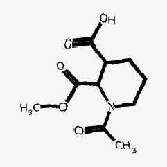 COC(=O)C1C(C(=O)O)CCCN1C(C)=O